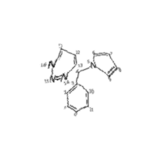 c1ccc(Cn2cccc2)cc1.c1cnnnc1